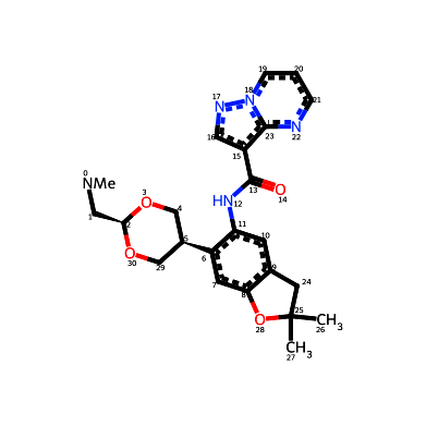 CNC[C@H]1OC[C@@H](c2cc3c(cc2NC(=O)c2cnn4cccnc24)CC(C)(C)O3)CO1